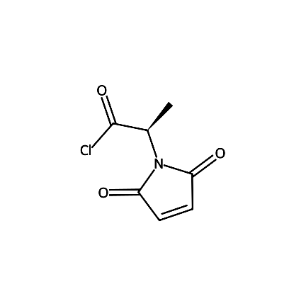 C[C@H](C(=O)Cl)N1C(=O)C=CC1=O